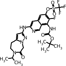 CC(C)N1CCc2cc(Nc3cc4cc(OS(=O)(=O)C(F)(F)F)c(F)c(NC(=O)OC(C)(C)C)c4cn3)nn2CC1=O